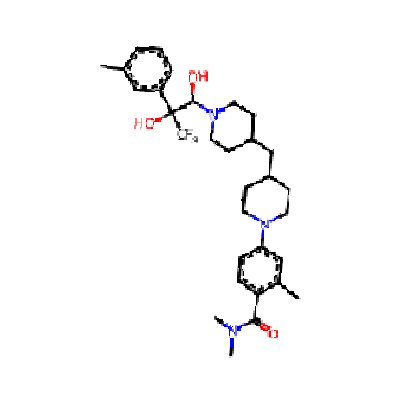 Cc1cccc(C(O)(C(O)N2CCC(CC3CCN(c4ccc(C(=O)N(C)C)c(C)c4)CC3)CC2)C(F)(F)F)c1